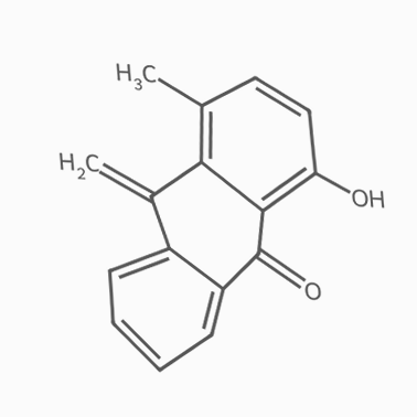 C=C1c2ccccc2C(=O)c2c(O)ccc(C)c21